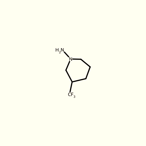 NN1CCCC(C(F)(F)F)C1